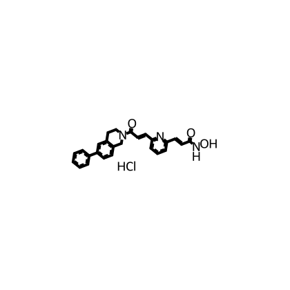 Cl.O=C(/C=C/c1cccc(/C=C/C(=O)N2CCc3cc(-c4ccccc4)ccc3C2)n1)NO